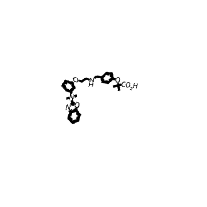 CC(C)(Oc1ccc(CNCCOc2cccc([N+](C)(C)c3nc4ccccc4o3)c2)cc1)C(=O)O